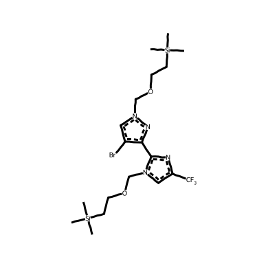 C[Si](C)(C)CCOCn1cc(Br)c(-c2nc(C(F)(F)F)cn2COCC[Si](C)(C)C)n1